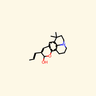 C/C=C/C1=Cc2cc3c4c(c2OC1O)CCCN4CCC3(C)C